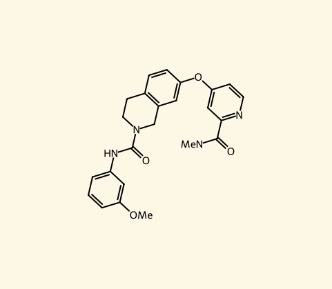 CNC(=O)c1cc(Oc2ccc3c(c2)CN(C(=O)Nc2cccc(OC)c2)CC3)ccn1